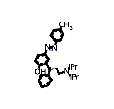 Cc1ccc(/N=N/c2ccc(O)c([C@H](CCN(C(C)C)C(C)C)c3ccccc3)c2)cc1